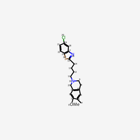 COc1cc2c(cc1C)CCN(CCCCc1nc3cc(Cl)ccc3s1)C2